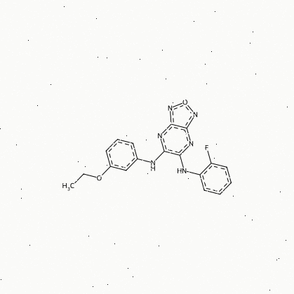 CCOc1cccc(Nc2nc3nonc3nc2Nc2ccccc2F)c1